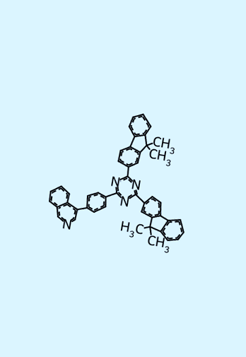 CC1(C)c2ccccc2-c2ccc(-c3nc(-c4ccc(-c5cncc6ccccc56)cc4)nc(-c4ccc5c(c4)C(C)(C)c4ccccc4-5)n3)cc21